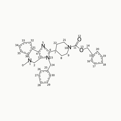 CN1Cc2c(nc(C3CCN(C(=O)OCc4ccccc4)CC3)n2Cc2ccccc2)-c2ccccc21